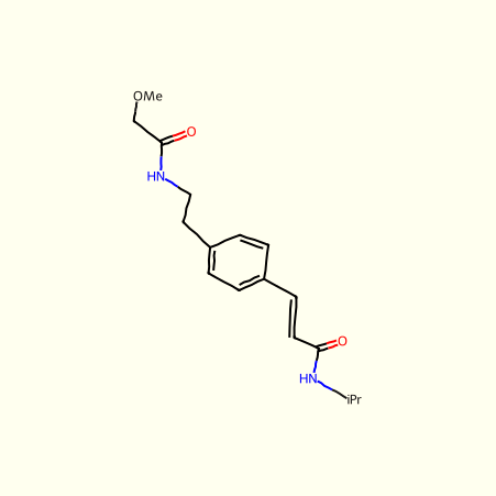 COCC(=O)NCCc1ccc(/C=C/C(=O)NC(C)C)cc1